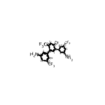 Nc1cc(-c2cc(-c3cc(N)cc(C(F)(F)F)c3)c(C(F)(F)F)cc2C(F)(F)F)cc(C(F)(F)F)c1